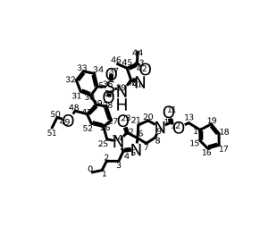 CCCCC1=NC2(CCN(C(=O)OCc3ccccc3)CC2)C(=O)N1Cc1ccc(-c2ccccc2S(=O)(=O)Nc2noc(C)c2C)c(COCC)c1